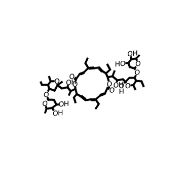 CCC1=C\C=C\C(CC)C(C(C)C(O)CC2(O)CC(OC3CC(O)C(O)C(C)O3)C(CC)C(C)O2)OC(=O)/C=C/C(CC)=C/C=C/C(CC)C(C(C)C(O)CC2(C)CC(OC3CC(O)C(O)C(C)O3)C(CC)C(C)O2)OC(=O)\C=C\1